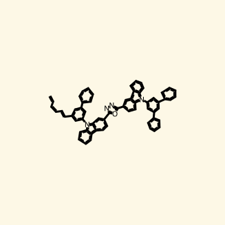 C=C/C=C\C=C\c1cc(-c2ccccc2)cc(-n2c3ccccc3c3ccc(-c4nnc(-c5ccc6c(c5)c5ccccc5n6-c5cc(-c6ccccc6)cc(-c6ccccc6)c5)o4)cc32)c1